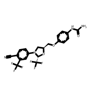 N#Cc1ccc(N2C[C@@H](COc3ccc(NC(N)=O)cc3)O[C@@H]2C(F)(F)F)cc1C(F)(F)F